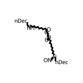 CCCCCCCCCCCCN(CCC)CCCCCCCCCC(=O)OCCOC(=O)CCCCCCCCCN(CCCCCCCCCCCC)CCN=O